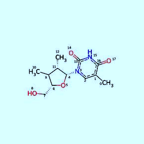 Cc1cn([C@@H]2O[C@H](CO)C(C)[C@@H]2C)c(=O)[nH]c1=O